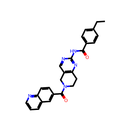 CCc1ccc(C(=O)Nc2ncc3c(n2)CCN(C(=O)c2ccc4ncccc4c2)C3)cc1